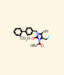 CCCCC(=O)n1c(CF)c(CCC)n(Cc2ccc(-c3ccccc3C(=O)O)cc2)c1=O